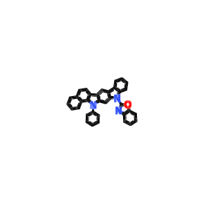 c1ccc(-n2c3cc4c(cc3c3ccc5ccccc5c32)c2ccccc2n4-c2nc3ccccc3o2)cc1